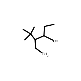 BCC(C(O)CC)C(C)(C)C